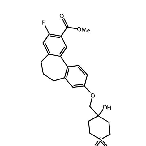 COC(=O)c1cc2c(cc1F)CCCc1cc(OCC3(O)CCS(=O)(=O)CC3)ccc1-2